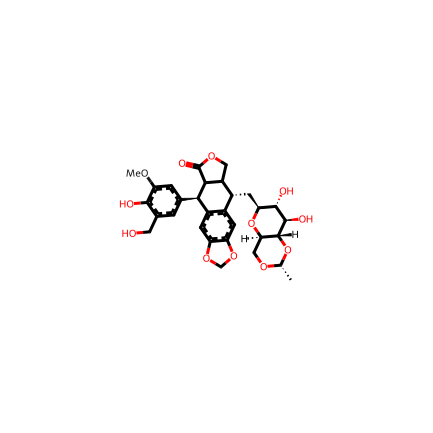 COc1cc([C@@H]2c3cc4c(cc3[C@@H](C[C@@H]3O[C@@H]5CO[C@@H](C)O[C@H]5[C@H](O)[C@H]3O)C3COC(=O)C32)OCO4)cc(CO)c1O